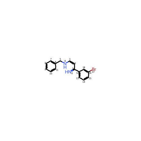 N=C(/C=C\NCc1ccccc1)c1cccc(Br)c1